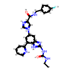 CCNC(=O)Nc1nc2cc(-n3cnc(C(=O)NCc4ccc(F)cc4)c3)cc(-c3ccccn3)c2[nH]1